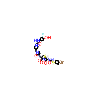 O=C(C[n+]1ccc(CN2CC/C(=C\C3=C(C(=O)[O-])N4C(=O)[C@@H](NC(=O)CSc5ccc(Br)cc5)[C@H]4SC3)C2=O)cc1)Nc1ccc(O)c(F)c1